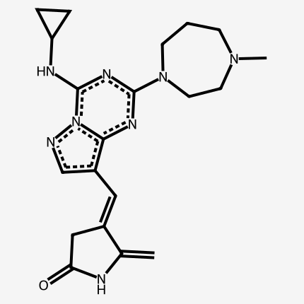 C=C1NC(=O)C/C1=C\c1cnn2c(NC3CC3)nc(N3CCCN(C)CC3)nc12